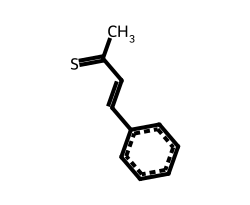 CC(=S)C=Cc1ccccc1